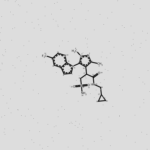 Cc1nn(C)c(-n2ccc3cc(C(F)(F)F)cnc32)c1C(CS(N)(=O)=O)C(=O)NCC1CC1